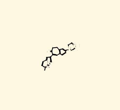 Cc1ccc2cc(C3=Cc4ccc(N5C[C@@H](C)N[C@@H](C)C5)cc4CCC3=O)cn2n1